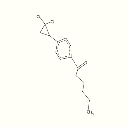 CCCCCC(=O)c1ccc(C2CC2(Cl)Cl)cc1